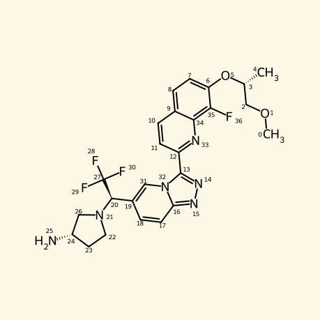 COC[C@@H](C)Oc1ccc2ccc(-c3nnc4ccc([C@@H](N5CC[C@H](N)C5)C(F)(F)F)cn34)nc2c1F